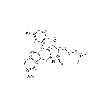 CCC12Cc3c([nH]c4ccc(OC)cc34)C(c3cccc(O)c3)N1C(=O)N(CCCN(C)C)C2=O